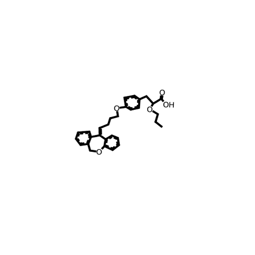 CCCOC(Cc1ccc(OCCC/C=C2/c3ccccc3COc3ccccc32)cc1)C(=O)O